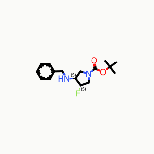 CC(C)(C)OC(=O)N1C[C@H](NCc2ccccc2)[C@@H](F)C1